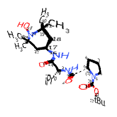 CC(C)[C@@H](NC(=O)[C@@H]1CCCN1C(=O)OC(C)(C)C)C(=O)NC1CC(C)(C)N(O)C(C)(C)C1